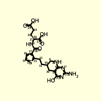 Nc1nc(O)c2c(n1)NCC(CCc1sccc1C(=O)N[C@@H](CCC(=O)O)C(=O)O)C2